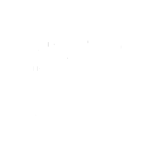 CCCCCCCCC1(O)c2cc(Br)ccc2-c2ccc(Br)cc2C1(O)CCCCCCCC